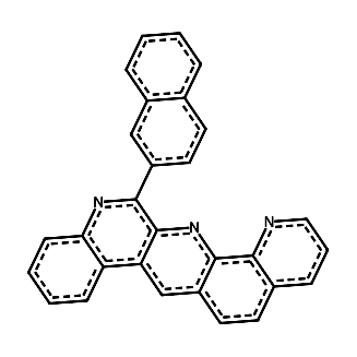 c1ccc2cc(-c3nc4ccccc4c4cc5ccc6cccnc6c5nc34)ccc2c1